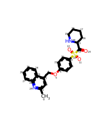 Cc1cc(COc2ccc(S(=O)(=O)C(=O)C3CCCCN3)cc2)c2ccccc2n1